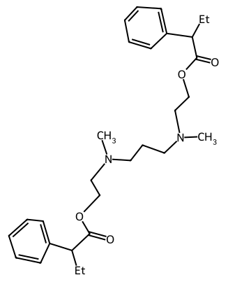 CCC(C(=O)OCCN(C)CCCN(C)CCOC(=O)C(CC)c1ccccc1)c1ccccc1